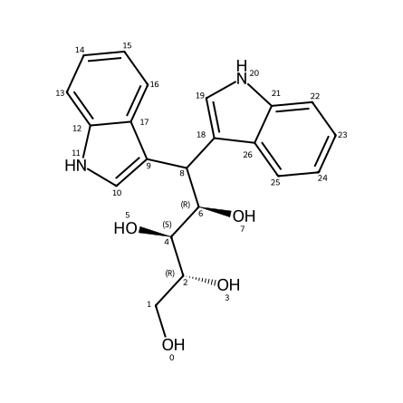 OC[C@@H](O)[C@@H](O)[C@H](O)C(c1c[nH]c2ccccc12)c1c[nH]c2ccccc12